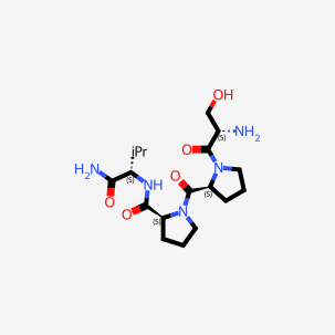 CC(C)[C@H](NC(=O)[C@@H]1CCCN1C(=O)[C@@H]1CCCN1C(=O)[C@@H](N)CO)C(N)=O